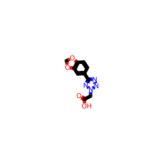 O=C(O)Cn1nnc(-c2ccc3c(c2)OCO3)n1